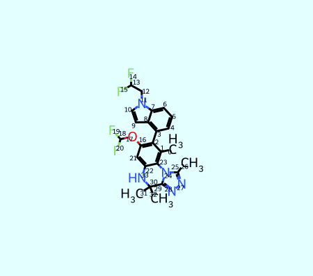 Cc1c(-c2cccc3c2ccn3CC(F)F)c(OC(F)F)cc2c1-n1c(C)nnc1C(C)(C)N2